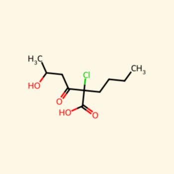 CCCCC(Cl)(C(=O)O)C(=O)CC(C)O